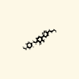 CCCCc1ccc(-c2ccc(CC[C@H]3CC[C@H](CC)CC3)c(F)c2F)nn1